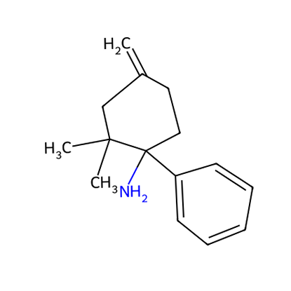 C=C1CCC(N)(c2ccccc2)C(C)(C)C1